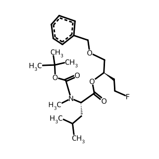 CC(C)C[C@@H](C(=O)O[C@H](CCF)COCc1ccccc1)N(C)C(=O)OC(C)(C)C